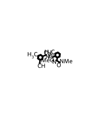 C#Cc1cc(C)cc(/C(C)=N/OCc2c(C)cccc2/C(=N\OC)C(=O)NC)c1